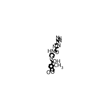 Cc1c([C@@H](O)CN2CCC(NC(=O)c3cnc(-n4cnnn4)cn3)CC2)ccc2c1COC2=O